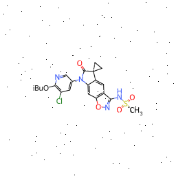 CC(C)COc1ncc(N2C(=O)C3(CC3)c3cc4c(NS(C)(=O)=O)noc4cc32)cc1Cl